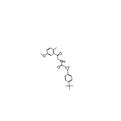 COc1ccc(C)c(C(=O)CNC(=O)C2CC2c2ccc(C(C)(C)C)cc2)c1